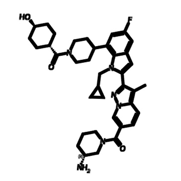 Cc1c(-c2cc3cc(F)cc(C4CCN(C(=O)[C@H]5CC[C@H](O)CC5)CC4)c3n2CC2CC2)nn2cc(C(=O)N3CCC[C@@H](N)C3)ccc12